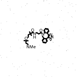 CNCCC(C)(C)OCCC(C)(C)C(=O)NCCC(=O)N1Cc2ccccc2-c2c(nnn2C)-c2ccccc21